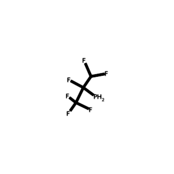 FC(F)C(F)(P)C(F)(F)F